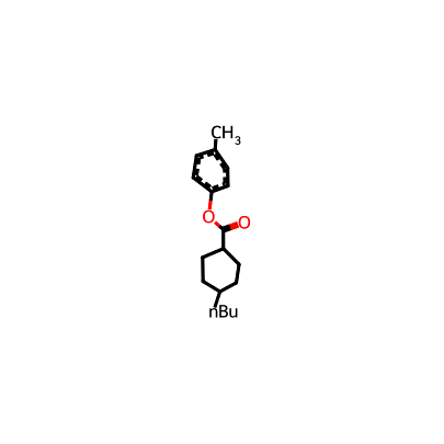 CCCCC1CCC(C(=O)Oc2ccc(C)cc2)CC1